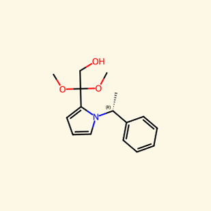 COC(CO)(OC)c1cccn1[C@H](C)c1ccccc1